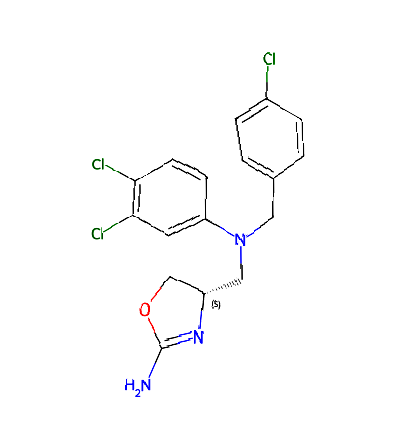 NC1=N[C@@H](CN(Cc2ccc(Cl)cc2)c2ccc(Cl)c(Cl)c2)CO1